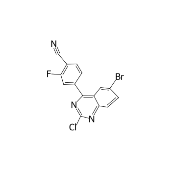 N#Cc1ccc(-c2nc(Cl)nc3ccc(Br)cc23)cc1F